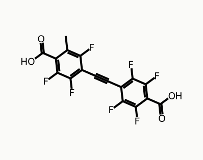 Cc1c(F)c(C#Cc2c(F)c(F)c(C(=O)O)c(F)c2F)c(F)c(F)c1C(=O)O